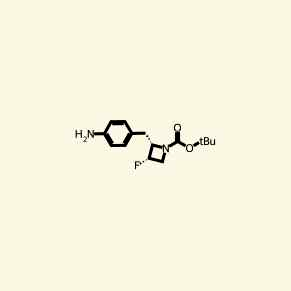 CC(C)(C)OC(=O)N1C[C@H](F)[C@@H]1Cc1ccc(N)cc1